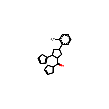 Cc1ccccc1C1CC(C(=O)C2CC=CC2)C(C2=CC=CC2)C1